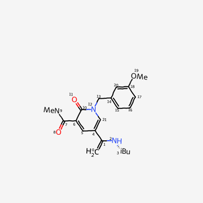 C=C(N[C@@H](C)CC)c1cc(C(=O)NC)c(=O)n(Cc2cccc(OC)c2)c1